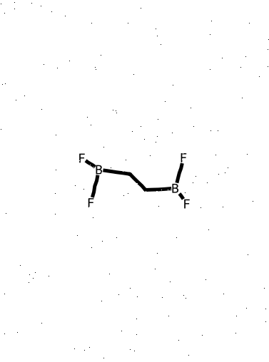 FB(F)CCB(F)F